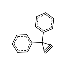 C1#CC1(c1ccccc1)c1ccccc1